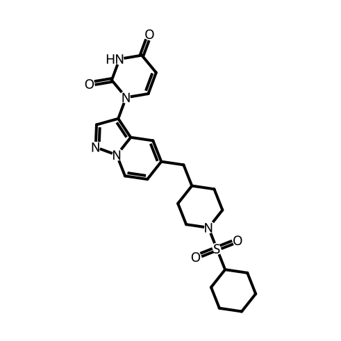 O=c1ccn(-c2cnn3ccc(CC4CCN(S(=O)(=O)C5CCCCC5)CC4)cc23)c(=O)[nH]1